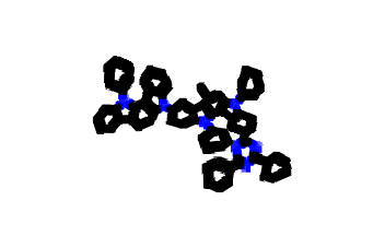 Cc1cc2c(c3cc(-c4nc(-c5ccccc5)nc(-c5ccccc5)n4)ccc3n2-c2ccccc2)c2c1c1cc(-n3c4ccccc4c4c3ccc3c5ccccc5n(-c5ccccc5)c34)ccc1n2-c1ccccc1